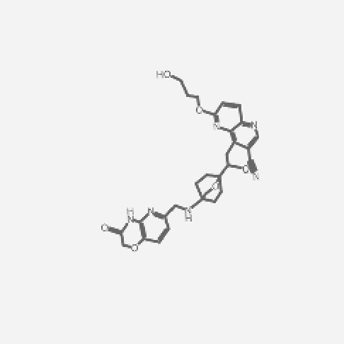 N#Cc1cnc2ccc(OCCCO)nc2c1CC(O)C12CCC(NCc3ccc4c(n3)NC(=O)CO4)(CC1)CO2